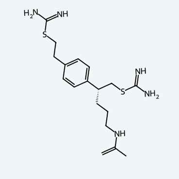 C=C(C)NCCC[C@@H](CSC(=N)N)c1ccc(CCSC(=N)N)cc1